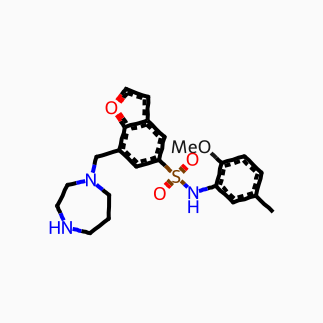 COc1ccc(C)cc1NS(=O)(=O)c1cc(CN2CCCNCC2)c2occc2c1